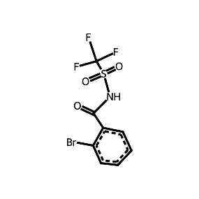 O=C(NS(=O)(=O)C(F)(F)F)c1ccccc1Br